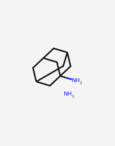 N.NC12CC3CC(CC(C3)C1)C2